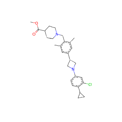 COC(=O)C1CCN(Cc2c(C)cc(C3CN(c4ccc(C5CC5)c(Cl)c4)C3)cc2C)CC1